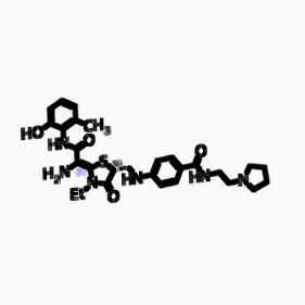 CCN1C(=O)[C@@H](CNc2ccc(C(=O)NCCN3CCCC3)cc2)S/C1=C(/N)C(=O)Nc1c(C)cccc1O